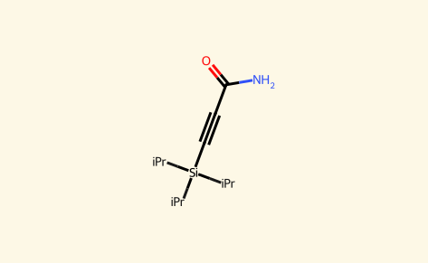 CC(C)[Si](C#CC(N)=O)(C(C)C)C(C)C